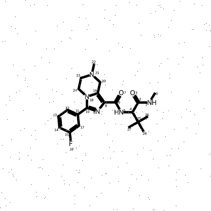 CNC(=O)C(NC(=O)c1nc(-c2cccc(F)c2)n2c1CN(C)CC2)C(C)(C)C